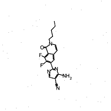 CCCCCn1ccc2cc(-c3ncc(C#N)c(N)n3)c(F)c(F)c2c1=O